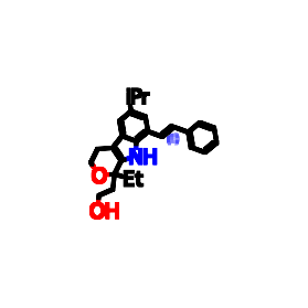 CCC1(CCO)OCCc2c1[nH]c1c(/C=C/c3ccccc3)cc(C(C)C)cc21